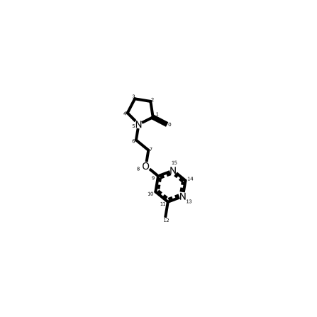 C=C1CCCN1CCOc1cc(C)ncn1